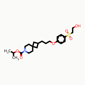 CC(C)OC(=O)N1CCC2(CC1)CC(CCCOc1ccc(S(=O)(=O)CCO)cc1)C2